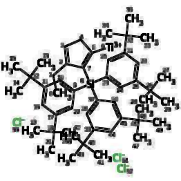 CCC1=CC[C]([Ti+3])=C1[Si](c1cc(C(C)(C)C)cc(C(C)(C)C)c1)(c1cc(C(C)(C)C)cc(C(C)(C)C)c1)c1cc(C(C)(C)C)cc(C(C)(C)C)c1.[Cl-].[Cl-].[Cl-]